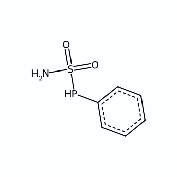 NS(=O)(=O)Pc1ccccc1